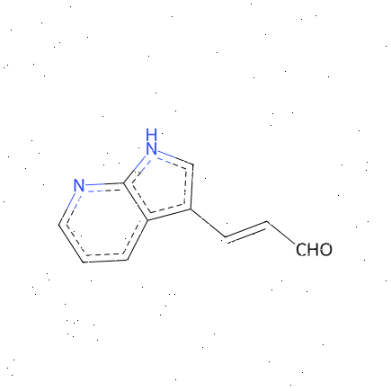 O=CC=Cc1c[nH]c2ncccc12